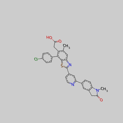 Cc1cc2nc(-c3ccnc(-c4ccc5c(c4)CC(=O)N5C)c3)sc2c(-c2ccc(Cl)cc2)c1CC(=O)O